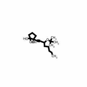 CCCCCC(C#C[C@@]1(O)CCCC1(O)O)OC(C)(C)C